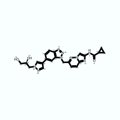 O=C(Nc1cn2nc(Cn3nnc4ccc(-c5cnn(C[C@H](O)CO)c5)cc43)ccc2n1)C1CC1